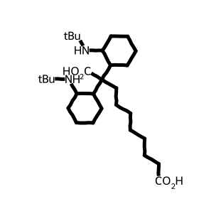 CC(C)(C)NC1CCCCC1C(CCCCCCCC(=O)O)(C(=O)O)C1CCCCC1NC(C)(C)C